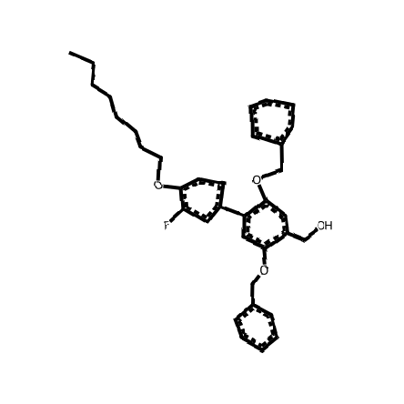 CCCCCCCCOc1ccc(-c2cc(OCc3ccccc3)c(CO)cc2OCc2ccccc2)cc1F